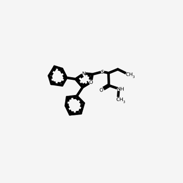 CCC(Sc1nc(-c2ccccc2)c(-c2ccccc2)o1)C(=O)NC